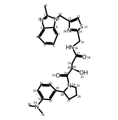 Cc1nc2ccccc2n1Cc1csc(CNC(=O)C[C@@H](O)C(=O)N2CCCC2c2cccc(N(C)C)c2)n1